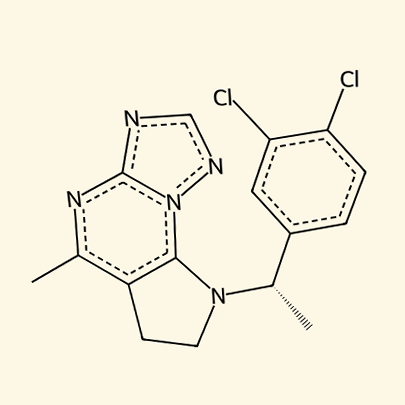 Cc1nc2ncnn2c2c1CCN2[C@@H](C)c1ccc(Cl)c(Cl)c1